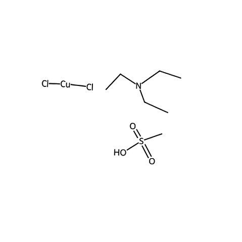 CCN(CC)CC.CS(=O)(=O)O.[Cl][Cu][Cl]